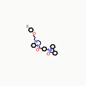 O=C(Nc1ccc(C(=O)N2CCCN(CCCOc3ccc(F)cc3)c3ccccc32)cc1)c1ccccc1-c1ccccc1